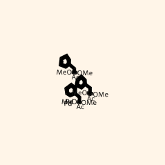 COC(Cc1ccccc1)(OC)C(C)=O.COC(Cc1ccccc1)(OC)C(C)=O.COC(Cc1ccccc1)(OC)C(C)=O.[Pd].[Pd]